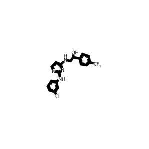 OC(CNc1ccnc(Nc2cccc(Cl)c2)n1)c1ccc(C(F)(F)F)cc1